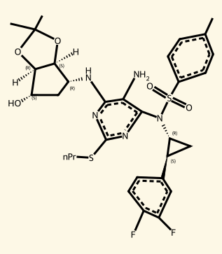 CCCSc1nc(N[C@@H]2C[C@H](O)[C@H]3OC(C)(C)O[C@H]32)c(N)c(N([C@@H]2C[C@H]2c2ccc(F)c(F)c2)S(=O)(=O)c2ccc(C)cc2)n1